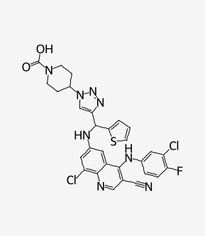 N#Cc1cnc2c(Cl)cc(NC(c3cn(C4CCN(C(=O)O)CC4)nn3)c3cccs3)cc2c1Nc1ccc(F)c(Cl)c1